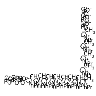 CCC[n+]1cccc(C)c1.CCC[n+]1cccc(C)c1.CCC[n+]1cccc(C)c1.CCC[n+]1cccc(C)c1.CCC[n+]1cccc(C)c1.CCC[n+]1cccc(C)c1.CCC[n+]1cccc(C)c1.CCC[n+]1cccc(C)c1.CCC[n+]1cccc(C)c1.CCC[n+]1cccc(C)c1.CCC[n+]1cccc(C)c1.CCC[n+]1cccc(C)c1.O=P([O-])([O-])F.O=P([O-])([O-])F.O=P([O-])([O-])F.O=P([O-])([O-])F.O=P([O-])([O-])F.O=P([O-])([O-])F